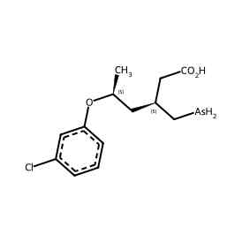 C[C@@H](C[C@H](C[AsH2])CC(=O)O)Oc1cccc(Cl)c1